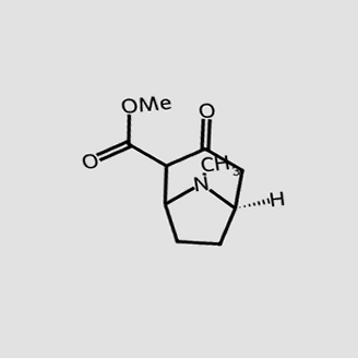 COC(=O)C1C(=O)C[C@H]2CCC1N2C